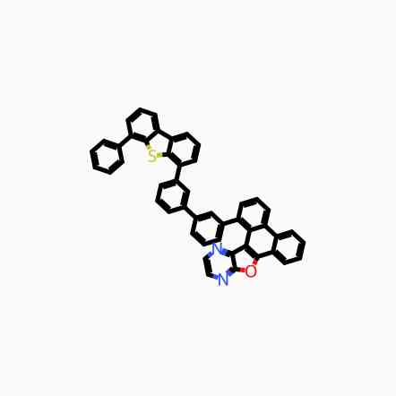 c1ccc(-c2cccc3c2sc2c(-c4cccc(-c5cccc(-c6cccc7c8ccccc8c8oc9nccnc9c8c67)c5)c4)cccc23)cc1